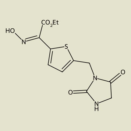 CCOC(=O)C(=NO)c1ccc(CN2C(=O)CNC2=O)s1